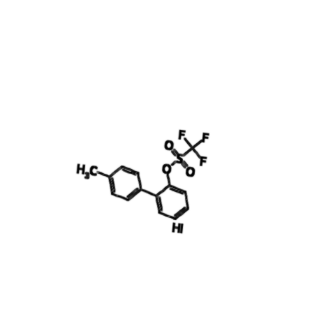 Cc1ccc(-c2ccccc2OS(=O)(=O)C(F)(F)F)cc1.I